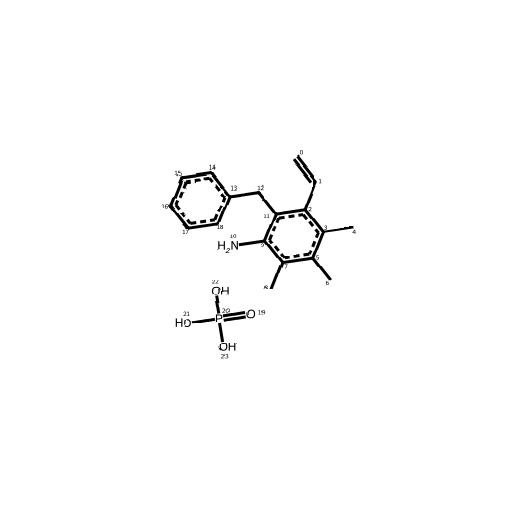 C=Cc1c(C)c(C)c(C)c(N)c1Cc1ccccc1.O=P(O)(O)O